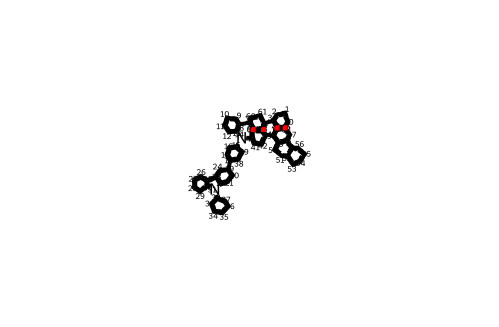 c1ccc(-c2ccc(-c3ccccc3N(c3ccc(-c4ccc5c(c4)c4ccccc4n5-c4ccccc4)cc3)c3ccc(-c4cccc5c4ccc4ccccc45)cc3)cc2)cc1